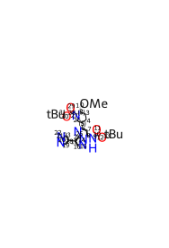 COC[C@@H]1CC[C@H](c2cc(NC(=O)OC(C)(C)C)n3ncc(-c4cnn(C)c4)c3n2)CN1C(=O)OC(C)(C)C